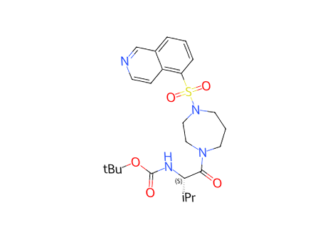 CC(C)[C@H](NC(=O)OC(C)(C)C)C(=O)N1CCCN(S(=O)(=O)c2cccc3cnccc23)CC1